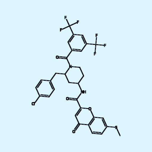 CSc1ccc2c(=O)cc(C(=O)NC3CCN(C(=O)c4cc(C(F)(F)F)cc(C(F)(F)F)c4)C(Cc4ccc(Cl)cc4)C3)oc2c1